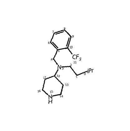 CC(C)CCN(Cc1ccccc1C(F)(F)F)C1CCNCC1